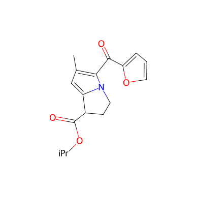 Cc1cc2n(c1C(=O)c1ccco1)CCC2C(=O)OC(C)C